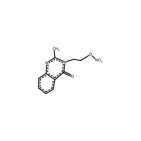 Cc1nc2ccccc2c(=O)n1CCO[N+](=O)[O-]